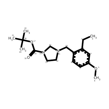 CCc1cc(OC)ccc1CN1CCN(C(=O)OC(C)(C)C)C1